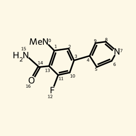 CNc1cc(-c2ccncc2)cc(F)c1C(N)=O